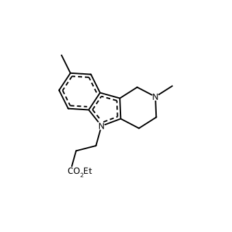 CCOC(=O)CCn1c2c(c3cc(C)ccc31)CN(C)CC2